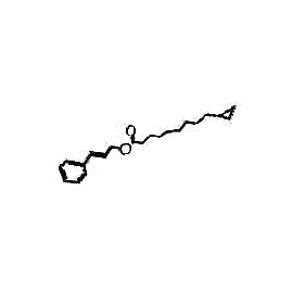 O=C(CCCCCCCCC1CC1)OC/C=C/c1ccccc1